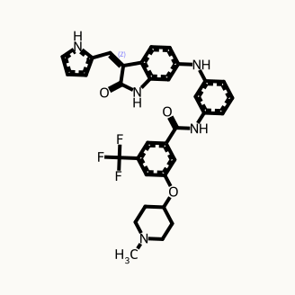 CN1CCC(Oc2cc(C(=O)Nc3cccc(Nc4ccc5c(c4)NC(=O)/C5=C\c4ccc[nH]4)c3)cc(C(F)(F)F)c2)CC1